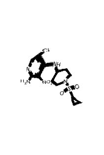 Nc1ncc(Cl)c(NC2CCN(S(=O)(=O)C3CC3)CC2)c1[N+](=O)[O-]